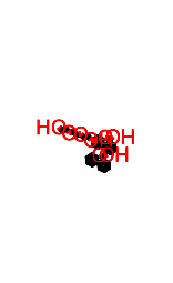 O=C(O)c1ccccc1-c1ccccc1.O=C(O)c1ccccc1-c1ccccc1.OCCOCCOCCO